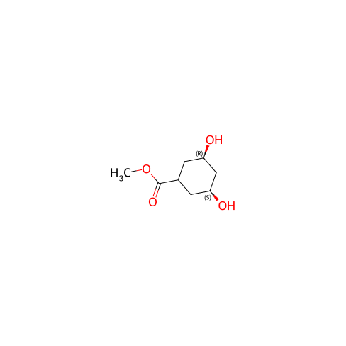 COC(=O)C1C[C@@H](O)C[C@@H](O)C1